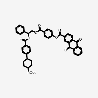 CCCCCCCCC1CCC(c2ccc(C(=O)OC(COC(=O)c3ccc(OC(=O)c4ccc5c(c4)C(=O)c4ccccc4C5=O)cc3)c3ccccc3)cc2)CC1